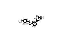 Clc1ccc(COc2cccc(C3=CCNCC3)n2)cc1